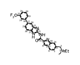 CCN(C)Cc1ccn2cc(C(=O)Nc3nc4cc(-c5cccc(C(F)(F)F)c5)ccc4[nH]3)nc2c1